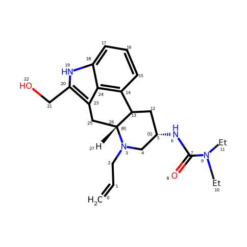 C=CCN1C[C@@H](NC(=O)N(CC)CC)CC2c3cccc4[nH]c(CO)c(c34)C[C@H]21